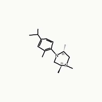 Cc1cc(C(C)C)ccc1N1C[C@H](C)N(C)C[C@H]1C